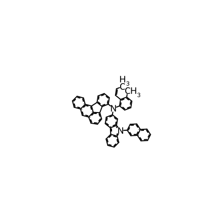 C/C=C\c1c(C)cccc1N(c1ccc2c3ccccc3n(-c3ccc4ccccc4c3)c2c1)c1cccc2c1-c1cccc3cc4ccccc4c-2c13